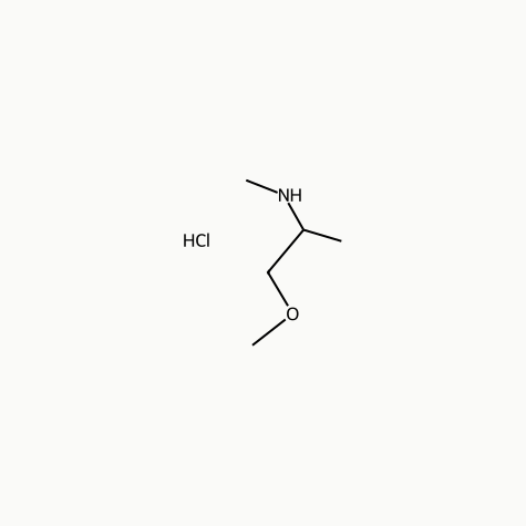 CNC(C)COC.Cl